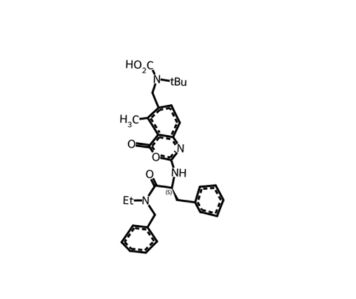 CCN(Cc1ccccc1)C(=O)[C@H](Cc1ccccc1)Nc1nc2ccc(CN(C(=O)O)C(C)(C)C)c(C)c2c(=O)o1